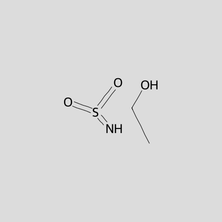 CCO.N=S(=O)=O